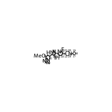 COc1cc(-c2[nH]nc(-c3ccc(C4CCN(C5CCC5)CC4)c(F)n3)c2C(C)C)cn2ncnc12